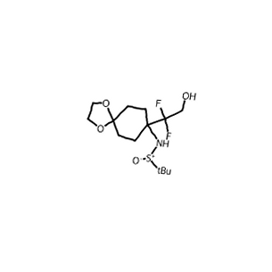 CC(C)(C)[S+]([O-])NC1(C(F)(F)CO)CCC2(CC1)OCCO2